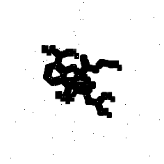 CCOC(=O)P(=O)(N[C@@H](C)C(=O)OC(C)C)Oc1c(C(C)C)cccc1C(C)C